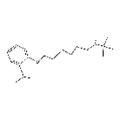 CC(C)c1ccccc1OCCCCCCNC(C)(C)C